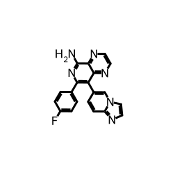 Nc1nc(-c2ccc(F)cc2)c(-c2ccc3nccn3c2)c2nccnc12